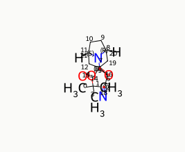 CC(C)(C)OC(=O)N1[C@@H]2CC[C@H]1C[C@](C=O)(CC#N)C2